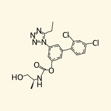 CCc1nnnn1-c1cc(OC(=O)N[C@@H](C)CO)cc(-c2ccc(Cl)cc2Cl)c1